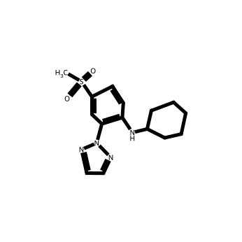 CS(=O)(=O)c1ccc(NC2CCCCC2)c(-n2nccn2)c1